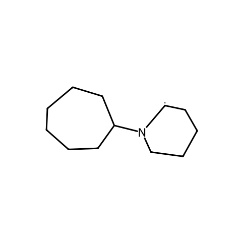 [CH]1CCCCN1C1CCCCCC1